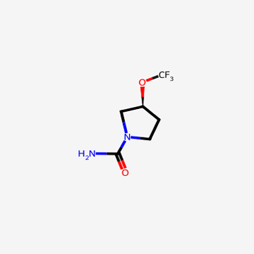 NC(=O)N1CC[C@H](OC(F)(F)F)C1